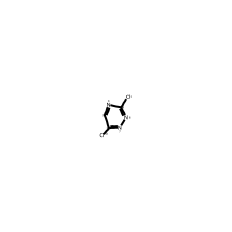 Clc1[c]nc(Cl)nn1